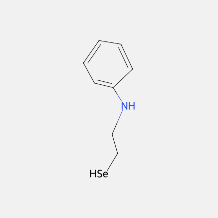 [SeH]CCNc1ccccc1